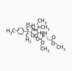 CCOC(=O)CC[C@@H](NC(=O)[C@@H](NC(=O)C(C)(C)c1ccc(C)cc1)[C@@H](C)CC)C(=O)OCC